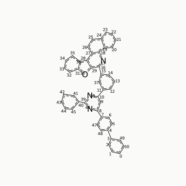 c1ccc(-c2ccc(-c3cc(-c4cccc(-c5nc6c7ccccc7ccc6c6c5oc5ccccc56)c4)nc(-c4ccccc4)n3)cc2)cc1